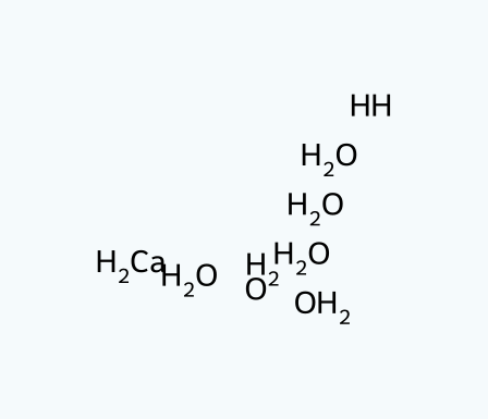 O.O.O.O.O.O.[CaH2].[HH]